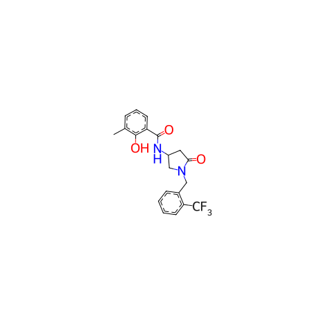 Cc1cccc(C(=O)NC2CC(=O)N(Cc3ccccc3C(F)(F)F)C2)c1O